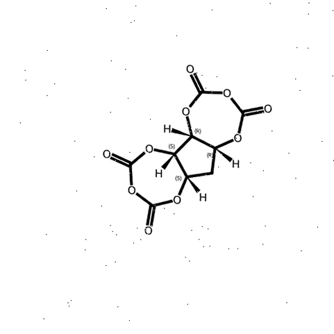 O=C1OC(=O)O[C@H]2C[C@H]3OC(=O)OC(=O)O[C@H]3[C@H]2O1